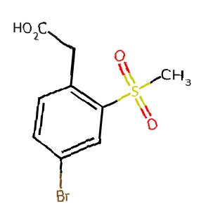 CS(=O)(=O)c1cc(Br)ccc1CC(=O)O